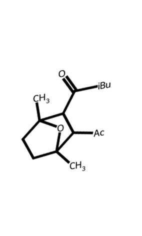 CCC(C)C(=O)C1C(C(C)=O)C2(C)CCC1(C)O2